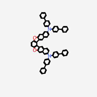 c1ccc(-c2ccc(N(c3ccc(-c4ccccc4)cc3)c3ccc4cc5c(cc4c3)oc3ccc4oc6cc7cc(N(c8ccc(-c9ccccc9)cc8)c8ccc(-c9ccccc9)cc8)ccc7cc6c4c35)cc2)cc1